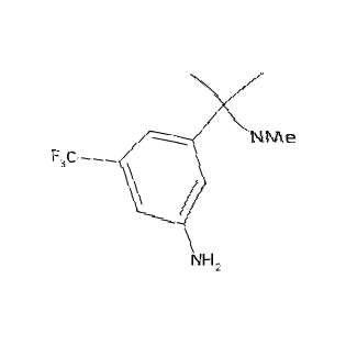 CNC(C)(C)c1cc(N)cc(C(F)(F)F)c1